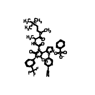 Cc1c(-c2ccnn2-c2ccc(C#N)cc2)n(C(=O)NC(C)C(=O)N(C)CC[N+](C)(C)C)c(=O)n1-c1cccc(C(F)(F)F)c1.O=S(=O)([O-])c1ccccc1